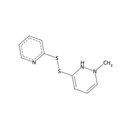 CN1C=CC=C(SSc2ccccn2)N1